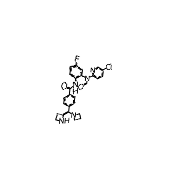 O=CN(c1ccc(Cl)cn1)c1cc(F)ccc1NC(=O)c1ccc(C(=C2CCN2)N2CCC2)cc1